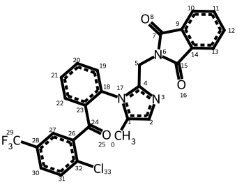 Cc1cnc(CN2C(=O)c3ccccc3C2=O)n1-c1ccccc1C(=O)c1cc(C(F)(F)F)ccc1Cl